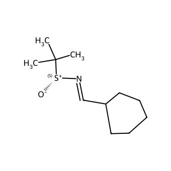 CC(C)(C)[S@@+]([O-])N=CC1CCCCC1